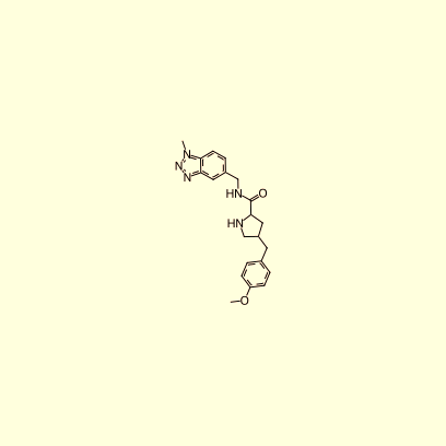 COc1ccc(CC2CNC(C(=O)NCc3ccc4c(c3)nnn4C)C2)cc1